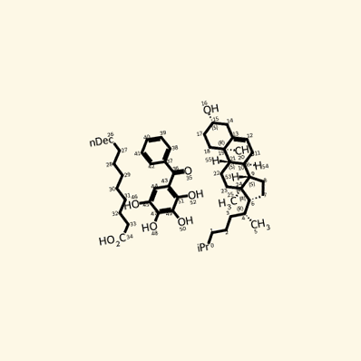 CC(C)CCC[C@@H](C)[C@H]1CC[C@H]2[C@@H]3CC=C4C[C@@H](O)CC[C@]4(C)[C@H]3CC[C@]12C.CCCCCCCCCCCCCCCCCC(=O)O.O=C(c1ccccc1)c1cc(O)c(O)c(O)c1O